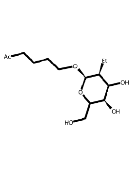 CC[C@H]1C(O)[C@@H](O)C(CO)O[C@H]1OCCCCC(C)=O